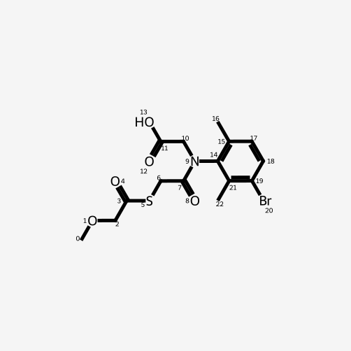 COCC(=O)SCC(=O)N(CC(=O)O)c1c(C)ccc(Br)c1C